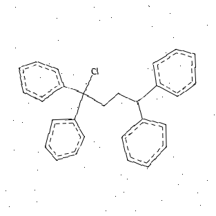 ClC(CCC(c1ccccc1)c1ccccc1)(c1ccccc1)c1ccccc1